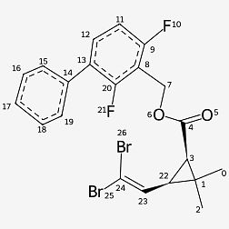 CC1(C)[C@H](C(=O)OCc2c(F)ccc(-c3ccccc3)c2F)[C@@H]1C=C(Br)Br